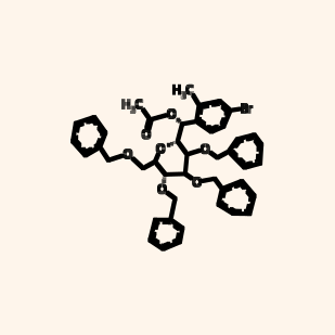 CC(=O)O[C@H](c1ccc(Br)cc1C)[C@H]1OC(COCc2ccccc2)[C@@H](OCc2ccccc2)C(OCc2ccccc2)C1OCc1ccccc1